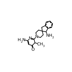 CC1C(=O)C=C(N)N=C1N1CCC2(CC1)Cc1ccccc1C2N